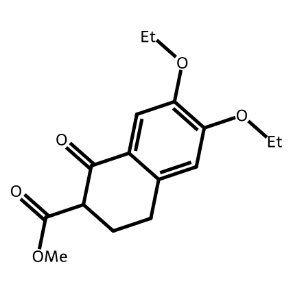 CCOc1cc2c(cc1OCC)C(=O)C(C(=O)OC)CC2